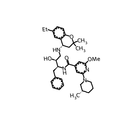 CCc1ccc2c(c1)[C@@H](NC[C@H](O)[C@H](Cc1ccccc1)NC(=O)c1cc(OC)nc(N3CCC[C@H](C)C3)c1)CC(C)(C)O2